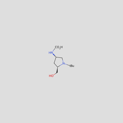 CC(C)(C)N1C[C@H](NC(=O)O)C[C@@H]1CO